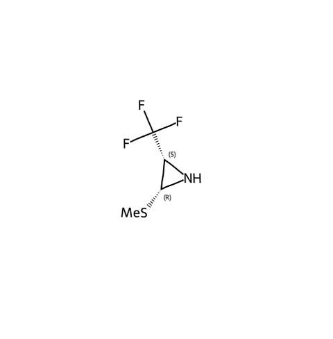 CS[C@H]1N[C@H]1C(F)(F)F